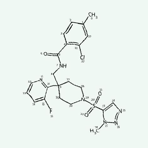 Cc1ccc(C(=O)NCC2(c3ncccc3F)CCN(S(=O)(=O)c3cnnn3C)CC2)c(Cl)c1